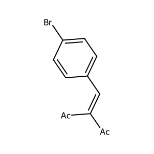 CC(=O)C(=Cc1ccc(Br)cc1)C(C)=O